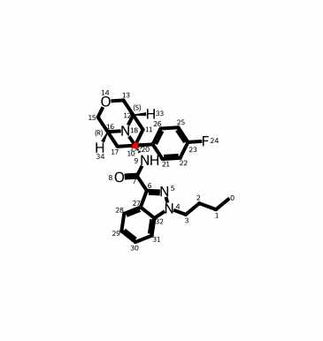 CCCCn1nc(C(=O)N[C@H]2C[C@H]3COC[C@@H](C2)N3Cc2ccc(F)cc2)c2ccccc21